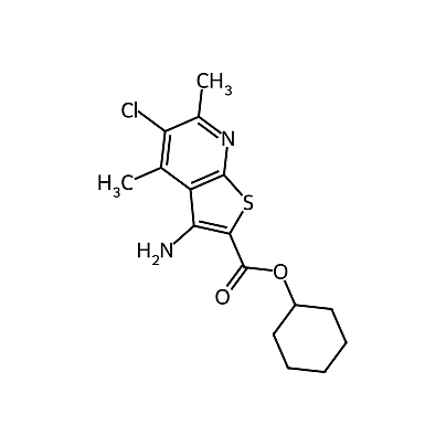 Cc1nc2sc(C(=O)OC3CCCCC3)c(N)c2c(C)c1Cl